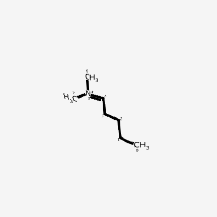 CCCCC=[N+](C)C